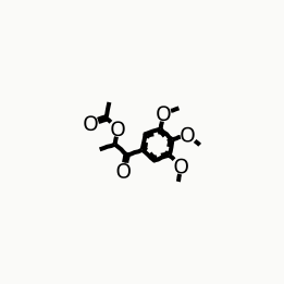 COc1cc(C(=O)C(C)OC(C)=O)cc(OC)c1OC